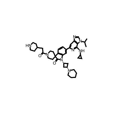 CC(C)n1cnc2cc(-c3ccc4c(c3)N([C@H]3C[C@@H](N5CCCCC5)C3)C(=O)C43CCN(C(=O)CC4CCNCC4)CC3)nc(NC3CC3)c21